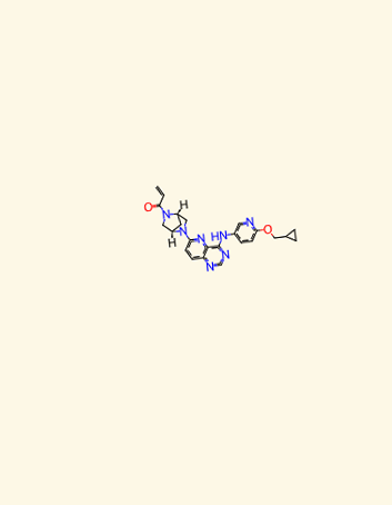 C=CC(=O)N1C[C@@H]2C[C@H]1CN2c1ccc2ncnc(Nc3ccc(OCC4CC4)nc3)c2n1